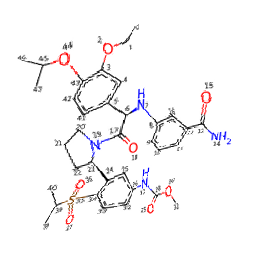 CCOc1cc([C@@H](Nc2cccc(C(N)=O)c2)C(=O)N2CCC[C@@H]2c2cc(NC(=O)OC)ccc2S(=O)(=O)C(C)C)ccc1OC(C)C